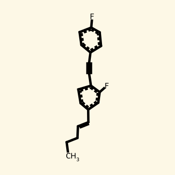 CCCC=Cc1ccc(C#Cc2ccc(F)cc2)c(F)c1